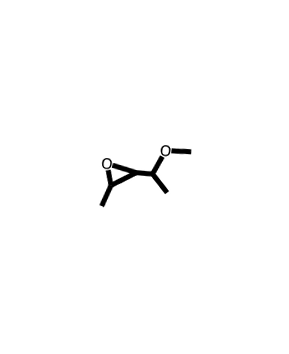 COC(C)C1OC1C